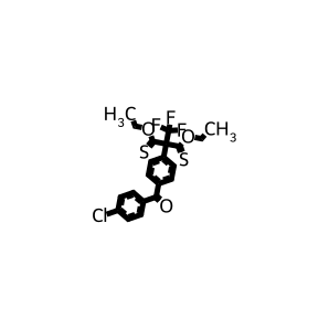 CCOC(=S)C(C(=S)OCC)(c1ccc(C(=O)c2ccc(Cl)cc2)cc1)C(F)(F)F